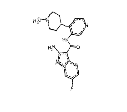 CN1CCC(c2ccncc2NC(=O)c2c(N)nn3cc(F)cnc23)CC1